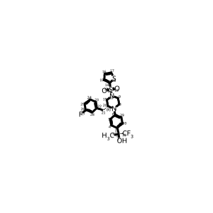 C[C@](O)(c1ccc(N2CCN(S(=O)(=O)c3cccs3)C[C@H]2Cc2cccc(F)c2)cc1)C(F)(F)F